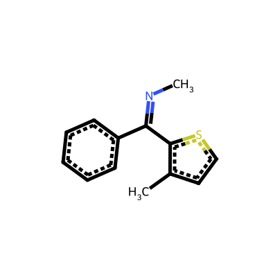 CN=C(c1ccccc1)c1sccc1C